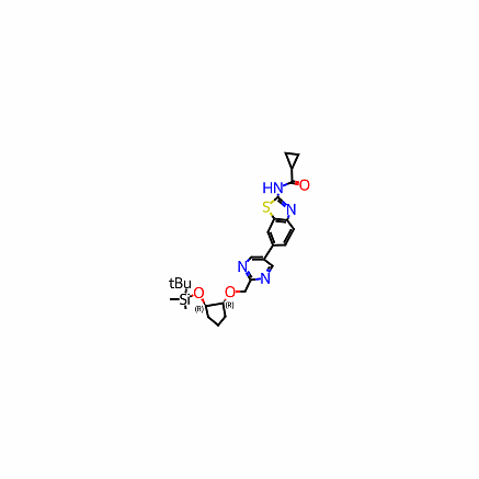 CC(C)(C)[Si](C)(C)O[C@@H]1CCC[C@H]1OCc1ncc(-c2ccc3nc(NC(=O)C4CC4)sc3c2)cn1